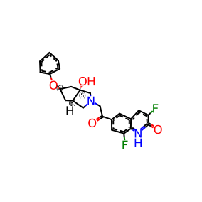 O=C(CN1C[C@H]2C[C@H](Oc3ccccc3)C[C@@]2(O)C1)c1cc(F)c2[nH]c(=O)c(F)cc2c1